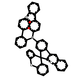 c1ccc(-c2ccccc2N(c2ccc3c(c2)C2(c4ccccc4Oc4ccccc42)c2cc4ccccc4cc2-3)c2ccc3c(c2)oc2ccccc23)cc1